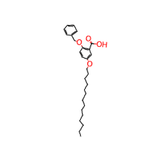 CCCCCCCCCCCCCCOc1ccc(OCc2ccccc2)c(C(=O)O)c1